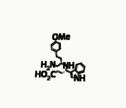 COc1ccc(CCC(CN)N[C@@H](CCC(=O)O)c2c[nH]c3ccccc23)cc1